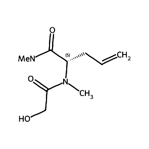 C=CC[C@@H](C(=O)NC)N(C)C(=O)CO